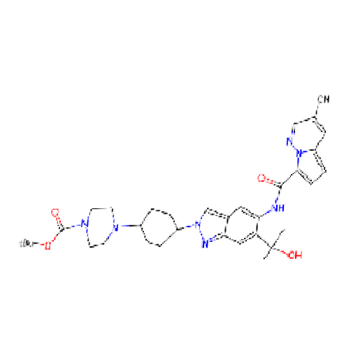 CC(C)(C)OC(=O)N1CCN(C2CCC(n3cc4cc(NC(=O)c5ccc6cc(C#N)cnn56)c(C(C)(C)O)cc4n3)CC2)CC1